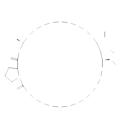 CCCC[C@H]1CCCCCCCCC[C@H](OS(=O)(=O)O)[C@H](OS(=O)(=O)O)[C@@H](OS(=O)(=O)O)CCCCCCCCCCCCC(=O)N2CCC[C@H]2C(=O)C1